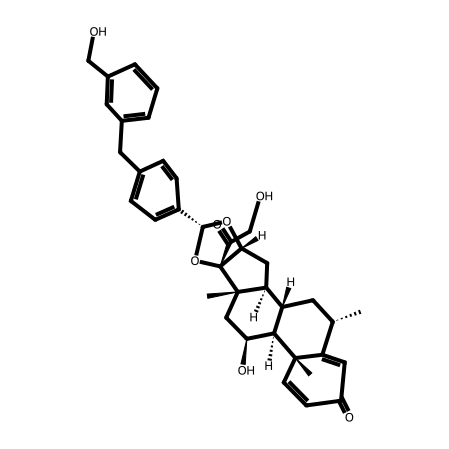 C[C@H]1C[C@@H]2[C@H]([C@@H](O)C[C@@]3(C)[C@H]2C[C@H]2O[C@@H](c4ccc(Cc5cccc(CO)c5)cc4)O[C@]23C(=O)CO)[C@@]2(C)C=CC(=O)C=C12